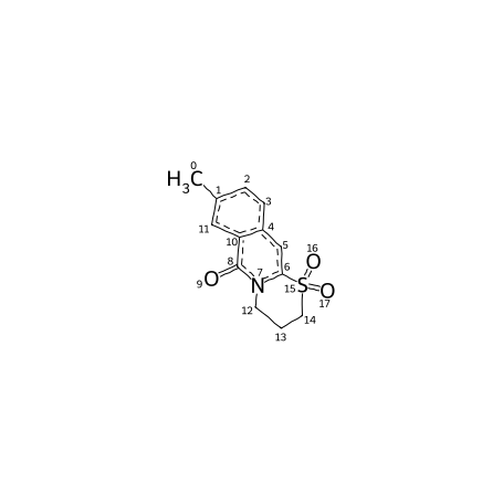 Cc1ccc2cc3n(c(=O)c2c1)CCCS3(=O)=O